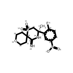 C[C@@]1(c2cc([N+](=O)[O-])ccc2F)CS(=O)(=O)C2(CCOCC2)C(=N)N1